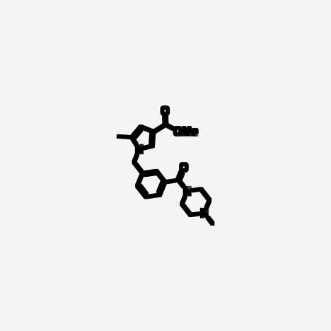 COC(=O)c1cc(C)n(Cc2cccc(C(=O)N3CCN(C)CC3)c2)c1